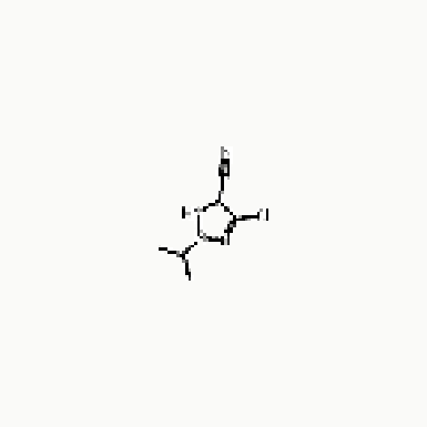 CC(C)N1N=C(Cl)C(C#N)N1